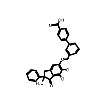 CC1(c2ccccc2)Cc2cc(OCc3cccc(-c4ccc(C(=O)O)cc4)c3)c(Cl)c(Cl)c2C1=O